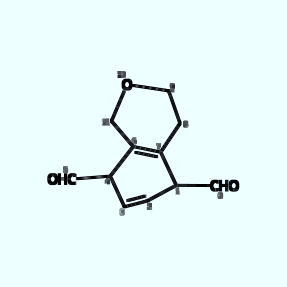 O=CC1C=CC(C=O)C2=C1C[CH]OC2